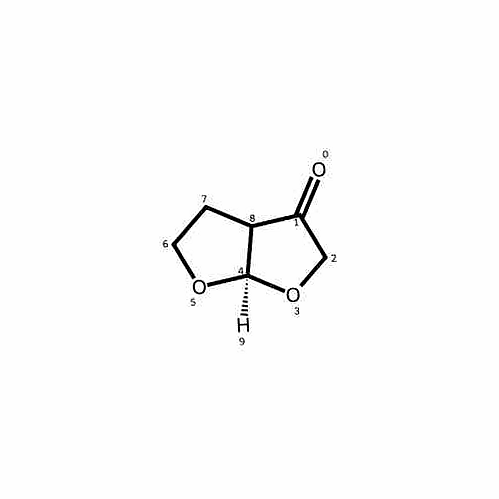 O=C1CO[C@H]2OCCC12